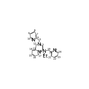 CCN(C=CN(Cc1ccccn1)Cc1ccccn1)Cc1ccccn1